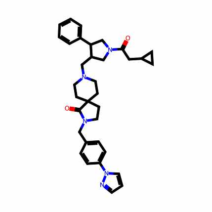 O=C(CC1CC1)N1CC(CN2CCC3(CC2)CCN(Cc2ccc(-n4cccn4)cc2)C3=O)C(c2ccccc2)C1